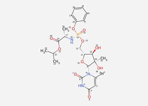 [2H]c1cc(=O)[nH]c(=O)n1[C@@H]1O[C@H](CO[P@@](=O)(N[C@@H](C)C(=O)OC(C)C)Oc2ccccc2)[C@@H](O)[C@@]1(C)O